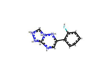 Fc1ccccc1-c1cnc2nncn2n1